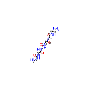 CNCC(=O)NCC(=O)NCC(=O)NCC(=O)NCC(=O)NCCN